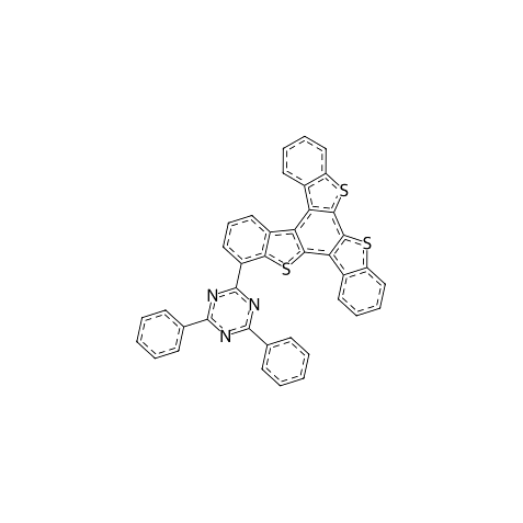 c1ccc(-c2nc(-c3ccccc3)nc(-c3cccc4c3sc3c5c6ccccc6sc5c5sc6ccccc6c5c43)n2)cc1